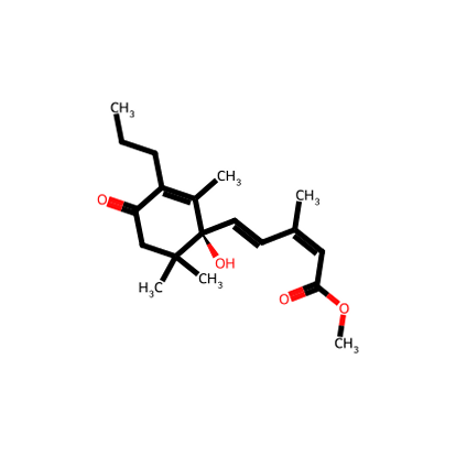 CCCC1=C(C)[C@](O)(/C=C/C(C)=C\C(=O)OC)C(C)(C)CC1=O